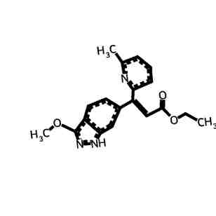 CCOC(=O)C=C(c1ccc2c(OC)n[nH]c2c1)c1cccc(C)n1